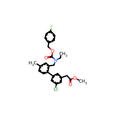 CCN(Cc1cc(C)ccc1-c1cc(Cl)cc(CC(=O)OC)c1)C(=O)OCc1ccc(F)cc1